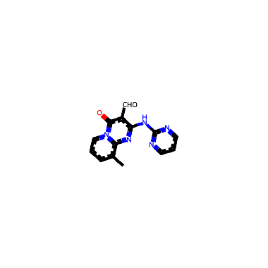 Cc1cccn2c(=O)c(C=O)c(Nc3ncccn3)nc12